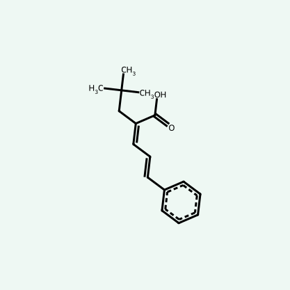 CC(C)(C)CC(=CC=Cc1ccccc1)C(=O)O